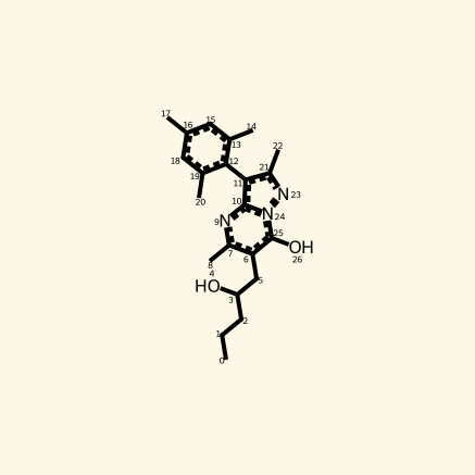 CCCC(O)Cc1c(C)nc2c(-c3c(C)cc(C)cc3C)c(C)nn2c1O